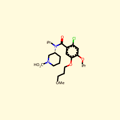 COCCCOc1cc(C(=O)N(C(C)C)[C@@H]2CCCN(C(=O)O)C2)c(Cl)cc1OC(C)C